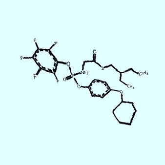 CCC(CC)CSC(=O)CNP(=O)(Oc1ccc(OC2CCCCC2)cc1)Oc1c(F)c(F)c(F)c(F)c1F